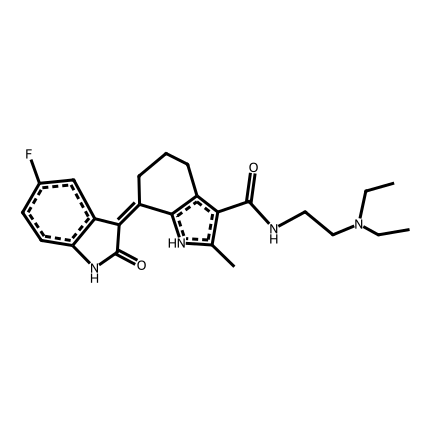 CCN(CC)CCNC(=O)c1c(C)[nH]c2c1CCCC2=C1C(=O)Nc2ccc(F)cc21